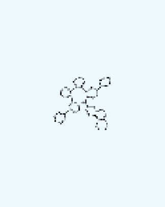 C1=Cc2c(ccc3cc(-n4c5ccc(-c6ccccc6)cc5c5ccccc5c5ccccc5c5cc(-c6ccccc6)ccc54)ccc23)CC1